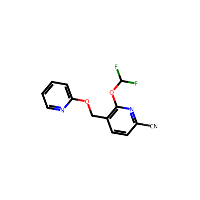 N#Cc1ccc(COc2ccccn2)c(OC(F)F)n1